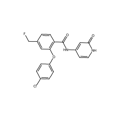 O=C(Nc1cc[nH]c(=O)c1)c1ccc(CF)cc1Oc1ccc(Cl)cc1